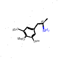 COc1cc(C[C@@H](C)N)cc(SC)c1OC